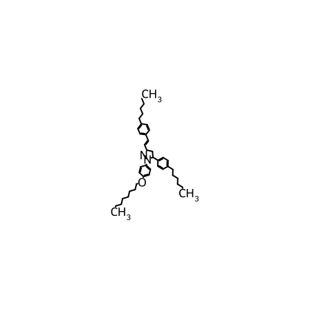 CCCCCCCCOc1ccc(N2N=C(C=Cc3ccc(CCCCCC)cc3)CC2c2ccc(CCCCCC)cc2)cc1